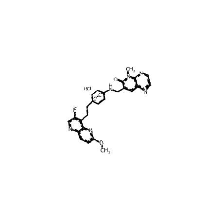 COc1ccc2ncc(F)c(CCC34CCC(NCc5cc6nccnc6n(C)c5=O)(CC3)CO4)c2n1.Cl